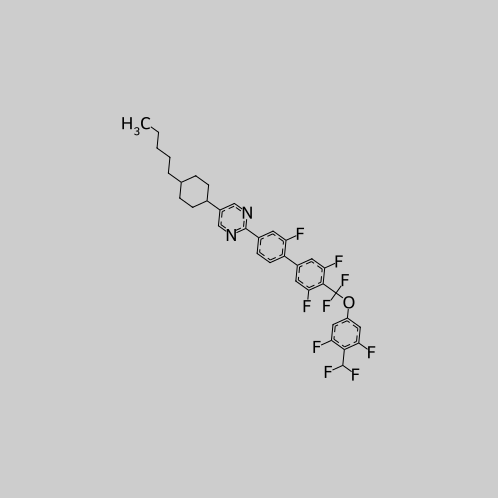 CCCCCC1CCC(c2cnc(-c3ccc(-c4cc(F)c(C(F)(F)Oc5cc(F)c(C(F)F)c(F)c5)c(F)c4)c(F)c3)nc2)CC1